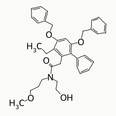 CCc1c(OCc2ccccc2)cc(OCc2ccccc2)c(-c2ccccc2)c1CC(=O)N(CCO)CCCOC